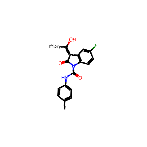 CCCCCCCCCC(O)=C1C(=O)N(C(=O)Nc2ccc(C)cc2)c2ccc(F)cc21